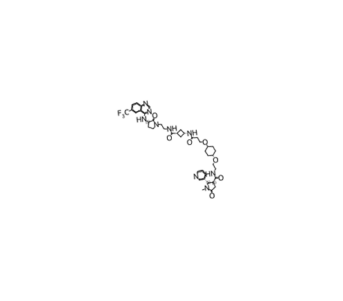 CN1C(=O)C[C@H](C(=O)NCCO[C@H]2CC[C@H](OCCC(=O)N[C@H]3C[C@H](C(=O)NCCN4CC[C@H](Nc5ncnc6ccc(C(F)(F)F)cc56)C4=O)C3)CC2)[C@H]1c1cccnc1